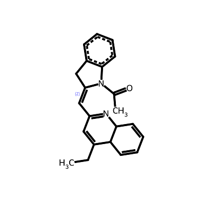 CCC1=CC(/C=C2/Cc3ccccc3N2C(C)=O)=NC2C=CC=CC12